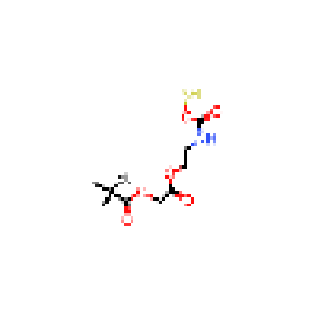 CCC(C)(C)C(=O)OCC(=O)OCCNC(=O)OS